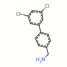 NCc1ccc(-c2cc(Cl)cc(Cl)c2)cc1